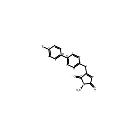 NN1C(=O)C=C(Cc2ccc(-c3ccc(F)cc3)cc2)C1=O